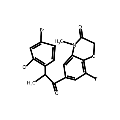 CC(C(=O)c1cc(F)c2c(c1)N(C)C(=O)CO2)c1ccc(Br)cc1Cl